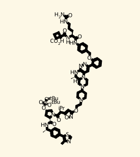 Cc1ncsc1-c1ccc([C@H](C)NC(=O)[C@@H]2C[C@@H](OP(=O)(OC(C)(C)C)OC(C)(C)C)CN2C(=O)[C@@H](c2cc(OCCN3CCC(N4CCN5c6cc(-c7ccccc7OCc7ccc(NC(=O)[C@H](CCCNC(N)=O)NC(=O)C8(C(=O)O)CCC8)cc7)nnc6N[C@@H](C)[C@@H]5C4)CC3)no2)C(C)C)cc1